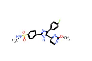 CNS(=O)(=O)c1ccc(-c2nc(-c3ccc(F)cc3)c(-c3ccnc(OC)n3)[nH]2)cc1